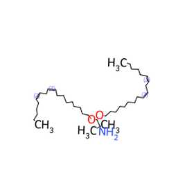 CCCCC/C=C\C/C=C\CCCCCCCCOC(OCCCCCCCC/C=C\C/C=C\CCCCC)C(C)(C)N